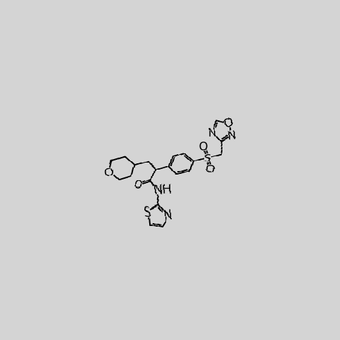 O=C(Nc1nccs1)C(CC1CCOCC1)c1ccc(S(=O)(=O)Cc2ncon2)cc1